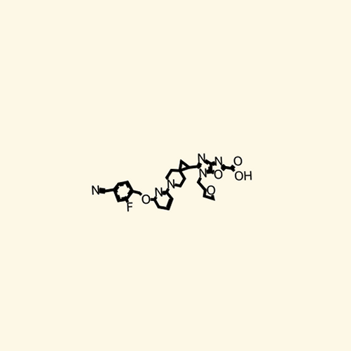 N#Cc1ccc(COC2CC=CC(N3CCC4(CC3)CC4c3nc4nc(C(=O)O)oc4n3CC3CCO3)=N2)c(F)c1